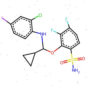 NS(=O)(=O)c1ccc(F)c(F)c1OC(Nc1ccc(I)cc1Cl)C1CC1